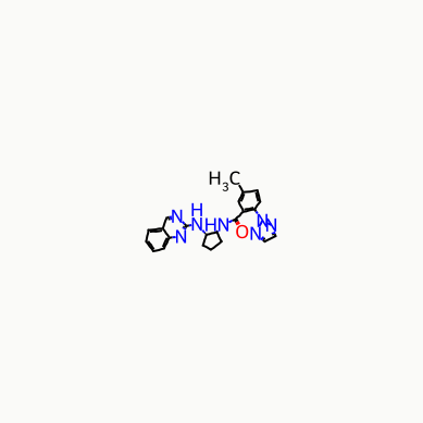 Cc1ccc(-n2nccn2)c(C(=O)N[C@H]2CCC[C@H]2Nc2ncc3ccccc3n2)c1